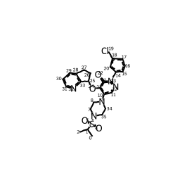 CC(C)S(=O)(=O)N1CCN(c2cnn(-c3cccc(Cl)c3)c(=O)c2OC2CCc3cccnc32)CC1